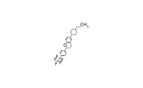 CCCC1CCC(c2ccc3c(c2)CCC(c2ccc(C(F)(F)C(F)(F)F)cc2)O3)CC1